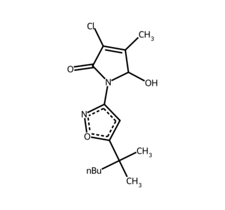 CCCCC(C)(C)c1cc(N2C(=O)C(Cl)=C(C)C2O)no1